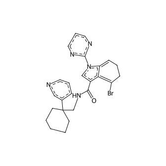 O=C(NCC1(c2cccnc2)CCCCC1)c1cn(-c2ncccn2)c2c1=C(Br)CCC=2